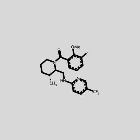 COc1c(F)cccc1C(=O)N1CCC[C@@H](C)C1CNc1ccc(C(F)(F)F)cn1